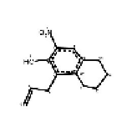 C=CCc1c(O)c([N+](=O)[O-])cc2c1CCCC2